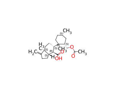 C=C1CC[C@H]2[C@H](C(=O)O)[C@@H]([C@@]3(C)CC[C@H](C)C[C@@H]3COC(C)=O)CC[C@]12C